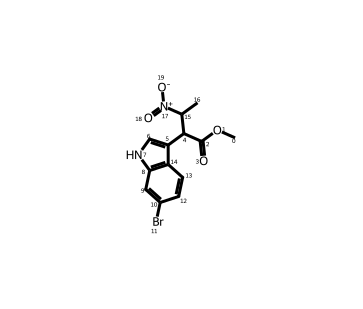 COC(=O)C(c1c[nH]c2cc(Br)ccc12)C(C)[N+](=O)[O-]